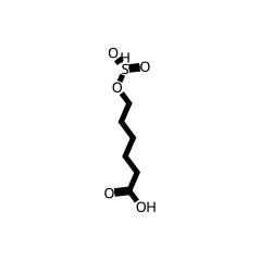 O=C(O)CCCCCO[SH](=O)=O